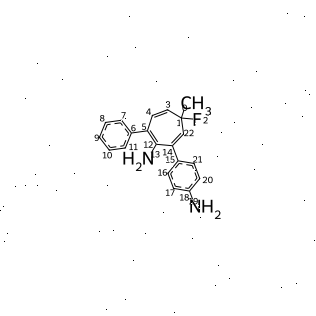 CC1(F)C=CC(c2ccccc2)=C(N)C(c2ccc(N)cc2)=C1